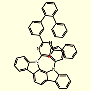 c1ccc(-c2nc(-c3cccc(-c4ccccc4-c4ccccc4)c3)nc(-n3c4ccccc4c4ccc5c6ccccc6n(-c6ccccc6)c5c43)n2)cc1